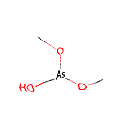 CO[As](O)OC